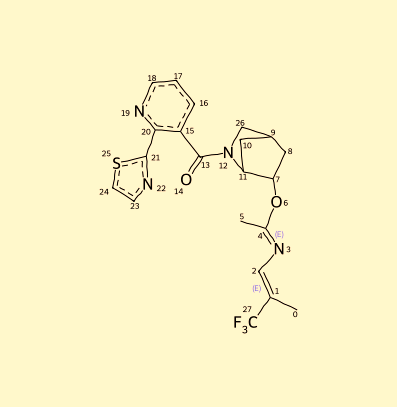 C/C(=C\N=C(/C)OC1CC2CC1N(C(=O)c1cccnc1-c1nccs1)C2)C(F)(F)F